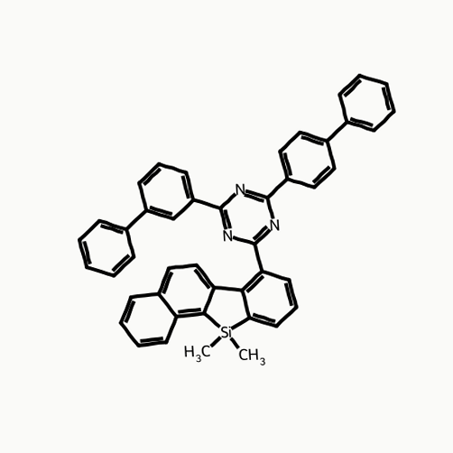 C[Si]1(C)c2cccc(-c3nc(-c4ccc(-c5ccccc5)cc4)nc(-c4cccc(-c5ccccc5)c4)n3)c2-c2ccc3ccccc3c21